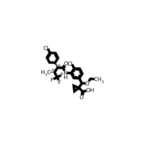 CCOC(c1ccc(Cl)c(NC(=O)[C@H](C2C=CC(Cl)=CC2)[C@@H](C)C(F)(F)F)c1)C1(C(=O)O)CC1